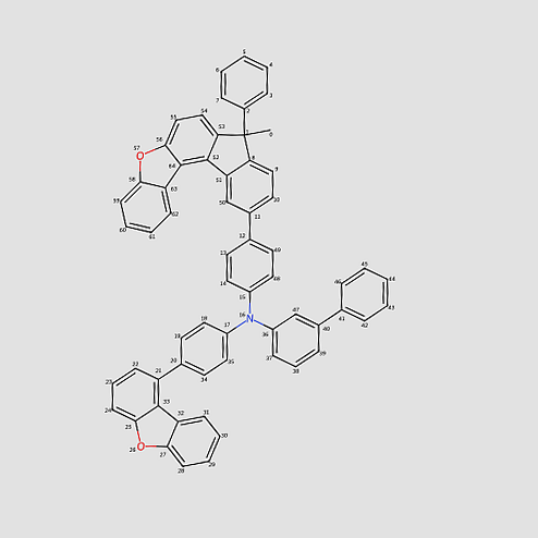 CC1(c2ccccc2)c2ccc(-c3ccc(N(c4ccc(-c5cccc6oc7ccccc7c56)cc4)c4cccc(-c5ccccc5)c4)cc3)cc2-c2c1ccc1oc3ccccc3c21